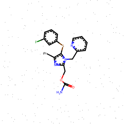 CC(C)c1nc(COC(N)=O)n(Cc2ccccn2)c1Sc1cccc(F)c1